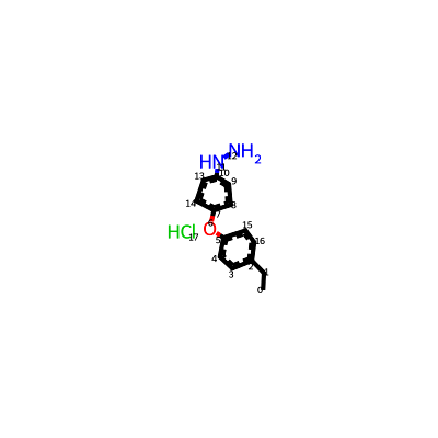 CCc1ccc(Oc2ccc(NN)cc2)cc1.Cl